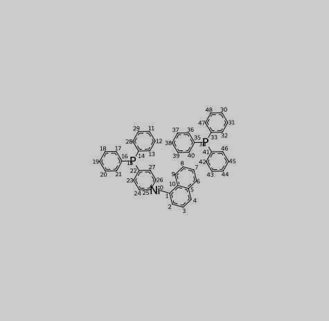 [Ni][c]1cccc2ccccc12.c1ccc(P(c2ccccc2)c2ccccc2)cc1.c1ccc(P(c2ccccc2)c2ccccc2)cc1